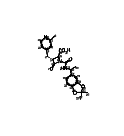 Cc1cc(C[C@H]2C(=O)N(C(=O)NC(C)c3ccc4c(c3)OC(C)(F)O4)C2C(=O)O)ccn1